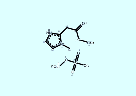 CCCCCCCCOS(=O)(=O)[O-].CCCCOC(=O)Cc1[nH]cc[n+]1C